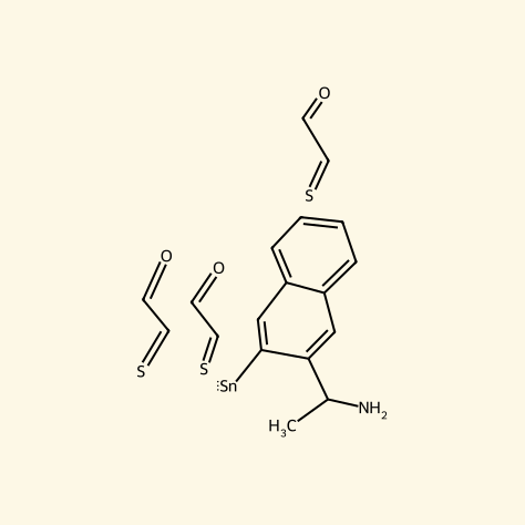 CC(N)c1cc2ccccc2c[c]1[Sn].O=CC=S.O=CC=S.O=CC=S